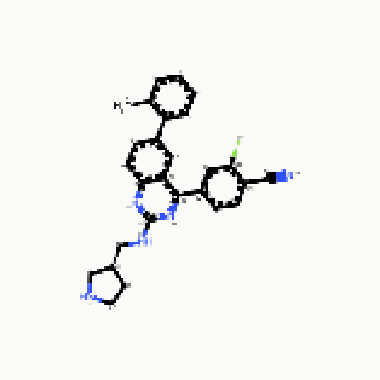 Cc1ccccc1-c1ccc2nc(NC[C@H]3CCNC3)nc(-c3ccc(C#N)c(F)c3)c2c1